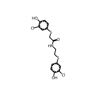 O=C(CSc1ccc(O)c(Cl)c1)NCCSc1ccc(O)c(Cl)c1